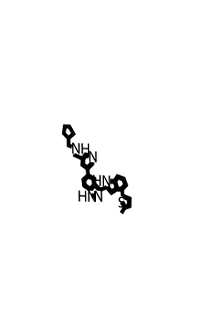 Cc1ccc(-c2cccc3[nH]c(-c4n[nH]c5ccc(-c6cncc(CNCC7CCCC7)c6)cc45)cc23)s1